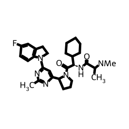 CNC(C)C(=O)N[C@H](C(=O)N1CCCC1c1cc(N2CCc3cc(F)ccc32)nc(C)n1)C1CCCCC1